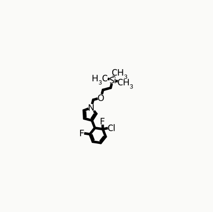 C[Si](C)(C)CCOCn1ccc(C2C(F)=CC=CC2(F)Cl)c1